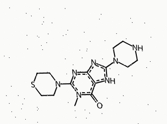 Cn1c(N2CCSCC2)nc2nc(N3CCNCC3)[nH]c2c1=O